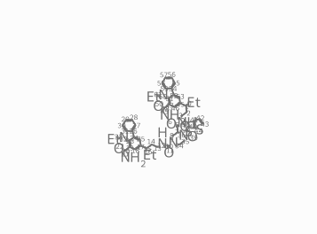 CCC(CCNC(=O)C1CN(C(=O)NCCC(CC)c2cc(C(N)=O)c3c(c2)c2ccccc2n3CC)CCN1S(=O)(=O)c1cccs1)c1cc(C(N)=O)c2c(c1)c1ccccc1n2CC